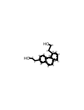 OCCc1ccc2c(ccc3cccc(CCO)c32)c1